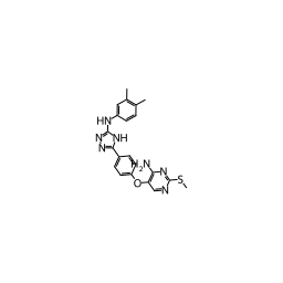 CSc1ncc(Oc2ccc(-c3nnc(Nc4ccc(C)c(C)c4)[nH]3)cc2)c(N)n1